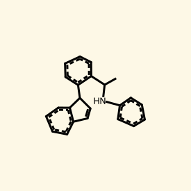 CC(Nc1ccccc1)c1ccccc1C1C=Cc2ccccc21